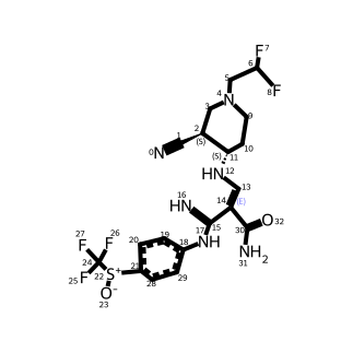 N#C[C@H]1CN(CC(F)F)CC[C@@H]1N/C=C(\C(=N)Nc1ccc([S+]([O-])C(F)(F)F)cc1)C(N)=O